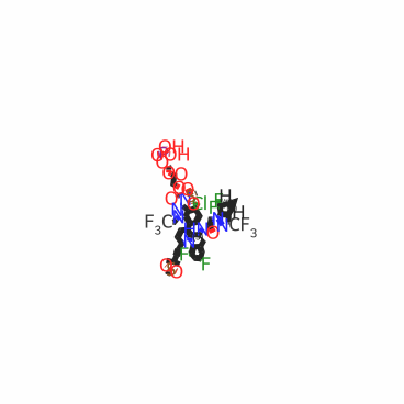 CC(C)(C#Cc1ccc(-c2ccc(Cl)c3c(N(C(=O)OCC(=O)OCOP(=O)(O)O)S(C)(=O)=O)nn(CC(F)(F)F)c23)c([C@H](Cc2cc(F)cc(F)c2)NC(=O)Cn2nc(C(F)(F)F)c3c2C(F)(F)[C@@H]2C[C@H]32)n1)S(C)(=O)=O